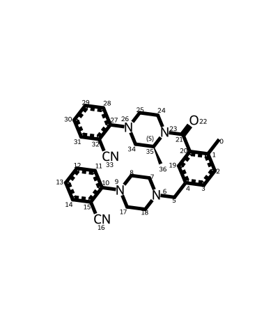 Cc1ccc(CN2CCN(c3ccccc3C#N)CC2)cc1C(=O)N1CCN(c2ccccc2C#N)C[C@@H]1C